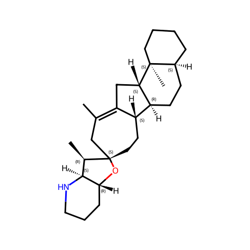 CC1=C2C[C@H]3[C@@H](CC[C@@H]4CCCC[C@@]43C)[C@@H]2CC[C@@]2(C1)O[C@@H]1CCCN[C@H]1[C@H]2C